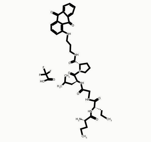 CCC[C@H](NC(=O)[C@@H](N)CCC)C(=O)NCC(=O)N[C@@H](CC(C)C)C(=O)N1CCC[C@H]1C(=O)NCCCNc1cccc2c1C(=O)c1ccccc1C2=O.O=C(O)C(F)(F)F